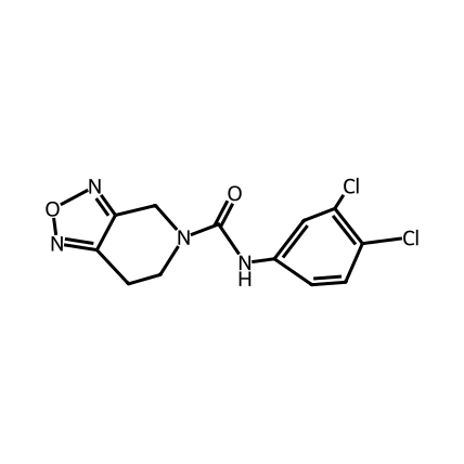 O=C(Nc1ccc(Cl)c(Cl)c1)N1CCc2nonc2C1